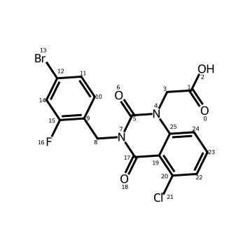 O=C(O)Cn1c(=O)n(Cc2ccc(Br)cc2F)c(=O)c2c(Cl)cccc21